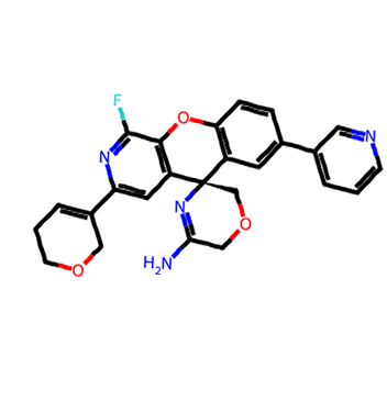 NC1=N[C@@]2(COC1)c1cc(-c3cccnc3)ccc1Oc1c2cc(C2=CCCOC2)nc1F